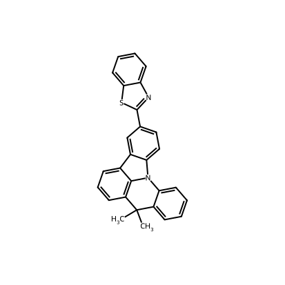 CC1(C)c2ccccc2-n2c3ccc(-c4nc5ccccc5s4)cc3c3cccc1c32